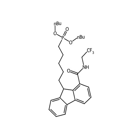 CCCCOP(=O)(CCCCCC1c2ccccc2-c2cccc(C(=O)NCC(F)(F)F)c21)OCCCC